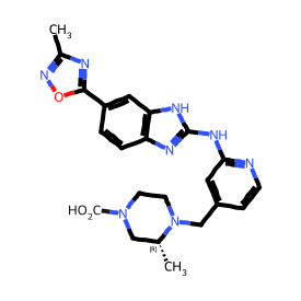 Cc1noc(-c2ccc3nc(Nc4cc(CN5CCN(C(=O)O)C[C@H]5C)ccn4)[nH]c3c2)n1